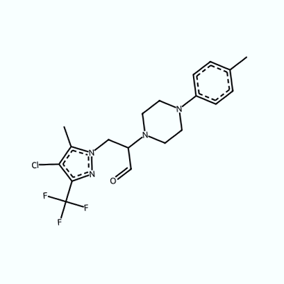 Cc1ccc(N2CCN(C(C=O)Cn3nc(C(F)(F)F)c(Cl)c3C)CC2)cc1